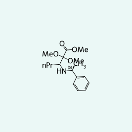 CCCC(N[C@@H](C)c1ccccc1)C(OC)(OC)C(=O)OC